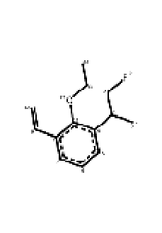 [CH2]C(CF)c1cccc(C=C)c1OCC